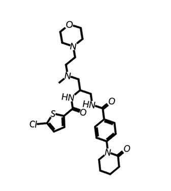 CN(CCN1CCOCC1)CC(CNC(=O)c1ccc(N2CCCCC2=O)cc1)NC(=O)c1ccc(Cl)s1